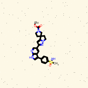 CC(C)(C)OC(=O)N1CCC2(CCn3nc(-c4cnc5[nH]cc(-c6ccc(S(C)(=N)=O)cc6)c5c4)cc32)C1